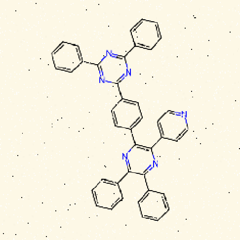 c1ccc(-c2nc(-c3ccccc3)nc(-c3ccc(-c4nc(-c5ccccc5)c(-c5ccccc5)nc4-c4ccncc4)cc3)n2)cc1